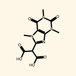 Cn1c(=O)c2c(nc(C(C(=O)O)C(=O)O)n2C)n(C)c1=O